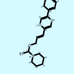 CCC(OCC=CC1=COC(C2=CC=CCC2)=CO1)N1CCCCC1